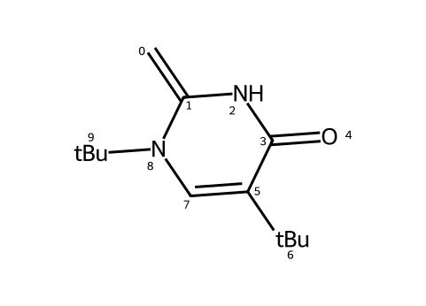 C=C1NC(=O)C(C(C)(C)C)=CN1C(C)(C)C